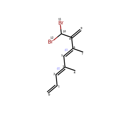 C=C/C=C(C)/C=C(\C)C(=C)C(Br)Br